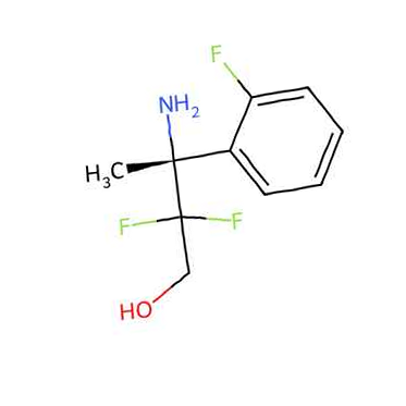 C[C@@](N)(c1ccccc1F)C(F)(F)CO